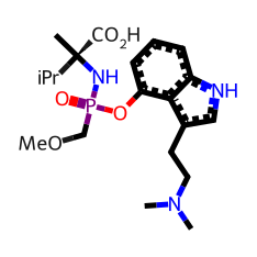 COCP(=O)(N[C@](C)(C(=O)O)C(C)C)Oc1cccc2[nH]cc(CCN(C)C)c12